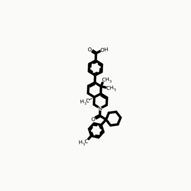 Cc1ccc(C2(C(=O)N3CC=C4C(C)(C)C(c5ccc(C(=O)O)cc5)=CC[C@]4(C)C3)CCCCC2)cc1